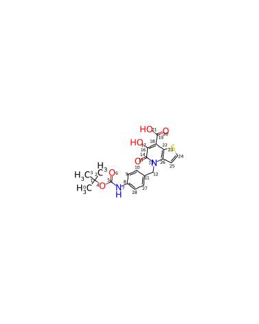 CC(C)(C)OC(=O)Nc1ccc(Cn2c(=O)c(O)c(C(=O)O)c3sccc32)cc1